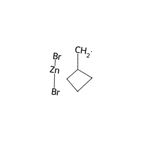 [Br][Zn][Br].[CH2]C1CCC1